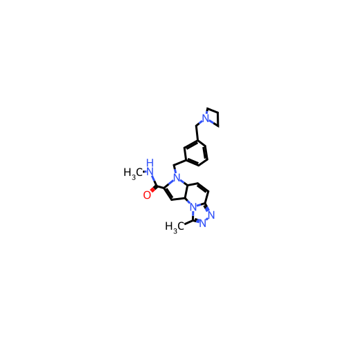 CNC(=O)C1=CC2C(C=Cc3nnc(C)n32)N1Cc1cccc(CN2CCC2)c1